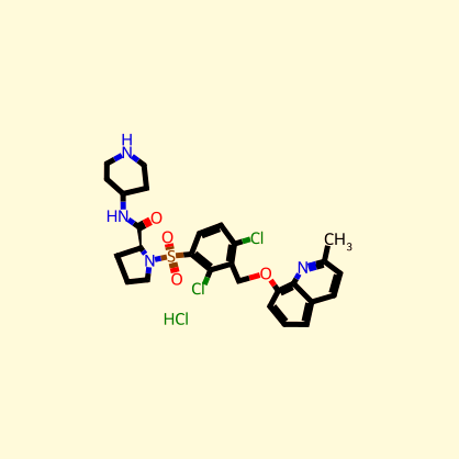 Cc1ccc2cccc(OCc3c(Cl)ccc(S(=O)(=O)N4CCC[C@H]4C(=O)NC4CCNCC4)c3Cl)c2n1.Cl